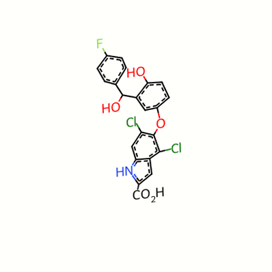 O=C(O)c1cc2c(Cl)c(Oc3ccc(O)c(C(O)c4ccc(F)cc4)c3)c(Cl)cc2[nH]1